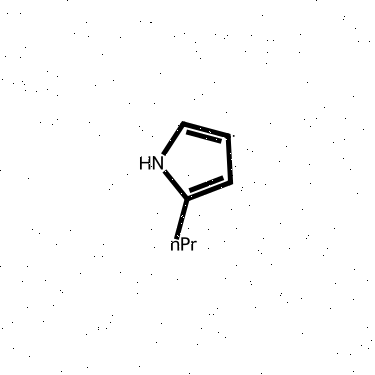 CCCc1c[c]c[nH]1